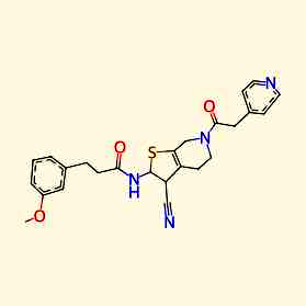 COc1cccc(CCC(=O)NC2SC3=C(CCN(C(=O)Cc4ccncc4)C3)C2C#N)c1